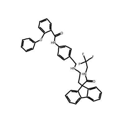 O=C(Nc1ccc(CNCCC2(C(=O)NCC(F)(F)F)c3ccccc3-c3ccccc32)cc1)c1ccccc1Oc1ccccc1